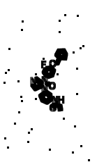 C=CC(=O)Nc1cccc(-n2c(=O)n(-c3ccc(OCc4ccccc4)c(F)c3)c3cnccc32)c1